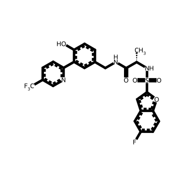 C[C@H](NS(=O)(=O)c1cc2cc(F)ccc2o1)C(=O)NCc1ccc(O)c(-c2ccc(C(F)(F)F)cn2)c1